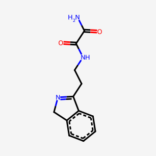 NC(=O)C(=O)NCCC1=NCc2ccccc21